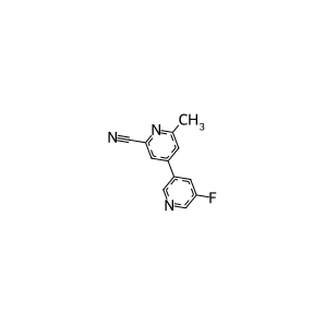 Cc1cc(-c2cncc(F)c2)cc(C#N)n1